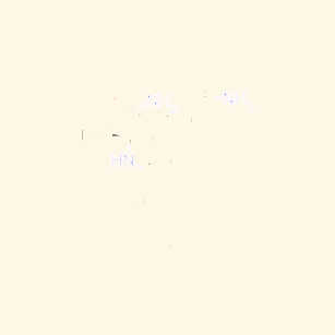 C[C@@](CCCCN)(Nc1cccc(C(F)(F)F)c1)C(N)=O